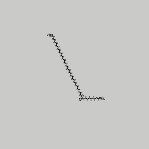 CCCCC=CCCCCCCCC(=O)OCCCCCCCCCCCCCCCCCCCCCCCCCCCCCCCCCCCCO